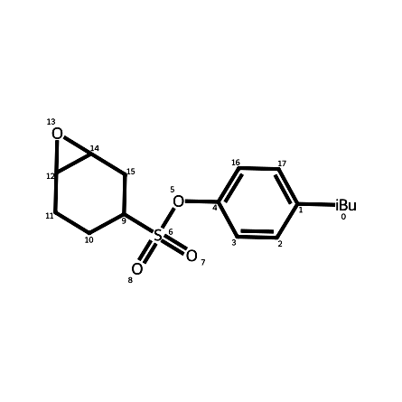 CCC(C)c1ccc(OS(=O)(=O)C2CCC3OC3C2)cc1